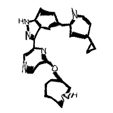 c1cc(C2CC2)cc(-c2ccc3[nH]nc(-c4cncc(OC5CCCNC5)n4)c3c2)n1